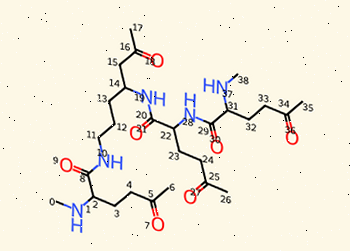 CNC(CCC(C)=O)C(=O)NCCCC(CC(C)=O)NC(=O)C(CCC(C)=O)NC(=O)C(CCC(C)=O)NC